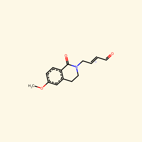 COc1ccc2c(c1)CCN(C/C=C/C=O)C2=O